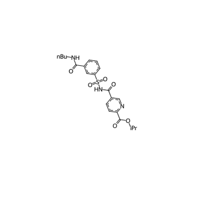 CCCCNC(=O)c1cccc(S(=O)(=O)NC(=O)c2ccc(C(=O)OC(C)C)nc2)c1